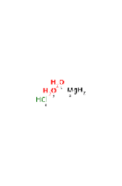 Cl.O.O.[MgH2]